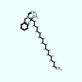 C=CN(Cc1ccccc1)C(C)(C)CCCCCCCCCCCCCCCCC